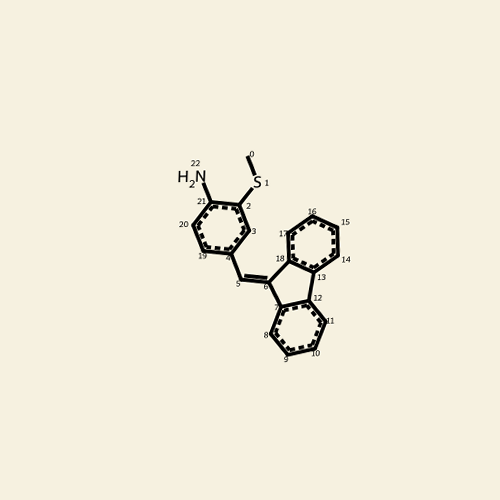 CSc1cc(C=C2c3ccccc3-c3ccccc32)ccc1N